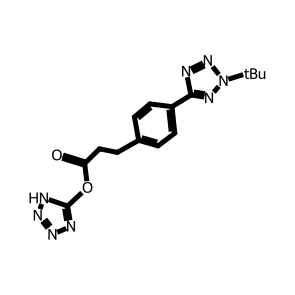 CC(C)(C)n1nnc(-c2ccc(CCC(=O)Oc3nnn[nH]3)cc2)n1